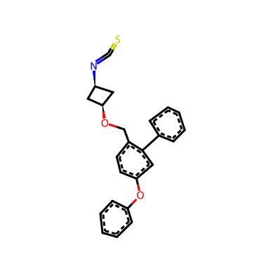 S=C=N[C@H]1C[C@@H](OCc2ccc(Oc3ccccc3)cc2-c2ccccc2)C1